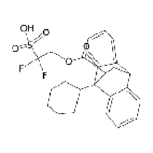 O=C(OCC(F)(F)S(=O)(=O)O)C1CC2c3ccccc3C1(C1CCCCC1)c1ccccc12